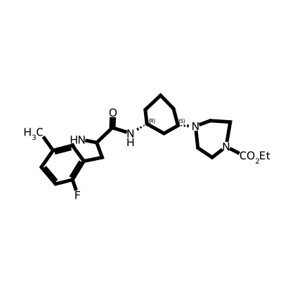 CCOC(=O)N1CCN([C@H]2CCC[C@@H](NC(=O)C3Cc4c(F)ccc(C)c4N3)C2)CC1